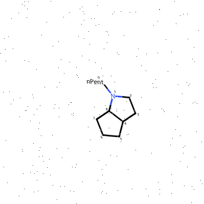 CCCCCN1CCC2CCCC21